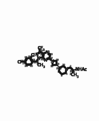 CC(=O)N[C@H](C)CN1CCC[C@H](C2CN(c3cnc4c(C(F)(F)F)nn([C@H](C)c5ccc(Cl)cc5Cl)c4n3)C2)C1